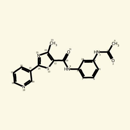 CC(=O)Nc1cccc(NC(=O)c2sc(-c3cccnc3)nc2C)c1